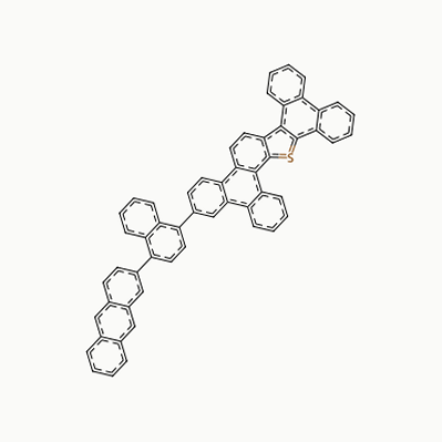 c1ccc2cc3cc(-c4ccc(-c5ccc6c(c5)c5ccccc5c5c6ccc6c5sc5c7ccccc7c7ccccc7c65)c5ccccc45)ccc3cc2c1